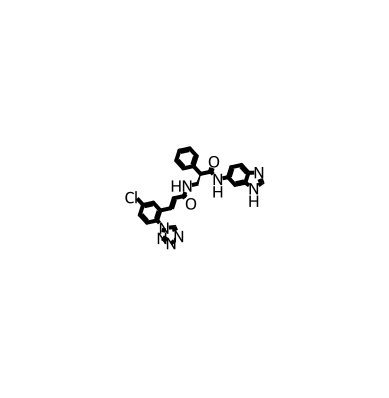 O=C(/C=C/c1cc(Cl)ccc1-n1cnnn1)NC[C@H](C(=O)Nc1ccc2nc[nH]c2c1)c1ccccc1